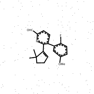 COc1ccc(F)c(-c2ccc(C=O)nc2C2=CCCC2(C)C)c1